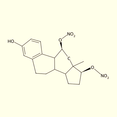 CC12C[C@H](O[N+](=O)[O-])C3c4ccc(O)cc4CCC3C1CC[C@@H]2O[N+](=O)[O-]